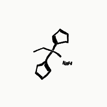 CC[Si](C)(C1=CC=CC1)C1=CC=CC1.[NaH]